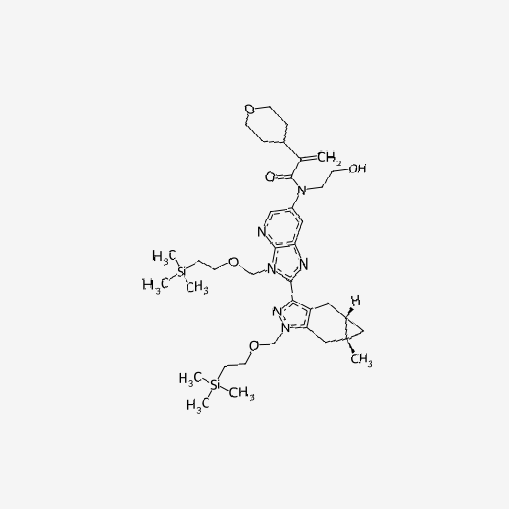 C=C(C(=O)N(CCO)c1cnc2c(c1)nc(-c1nn(COCC[Si](C)(C)C)c3c1C[C@@H]1C[C@]1(C)C3)n2COCC[Si](C)(C)C)C1CCOCC1